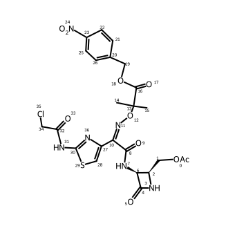 CC(=O)OC[C@H]1NC(=O)[C@H]1NC(=O)C(=NOC(C)(C)C(=O)OCc1ccc([N+](=O)[O-])cc1)c1csc(NC(=O)CCl)n1